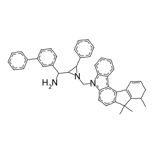 CC1CC=CC2=C1C(C)(C)c1ccc3c(c12)c1ccccc1n3CN1C(c2ccccc2)C1C(N)c1cccc(-c2ccccc2)c1